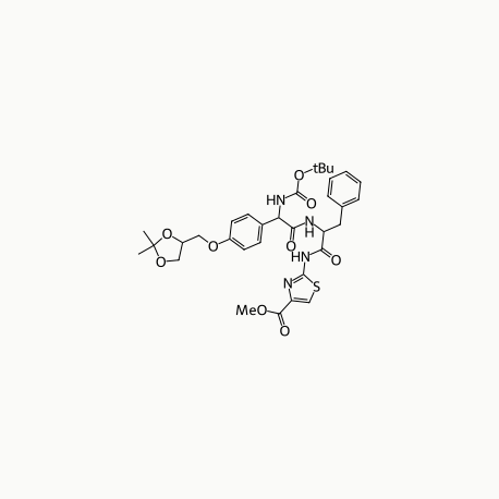 COC(=O)c1csc(NC(=O)C(Cc2ccccc2)NC(=O)C(NC(=O)OC(C)(C)C)c2ccc(OCC3COC(C)(C)O3)cc2)n1